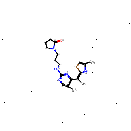 CC1=CSC(=C(C#N)c2nc(NCCCN3CCCC3=O)ncc2C)N1